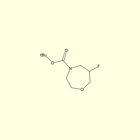 CC(C)(C)OC(=O)N1CCOCC(F)C1